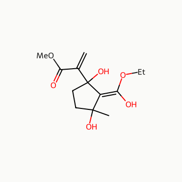 C=C(C(=O)OC)C1(O)CCC(C)(O)/C1=C(\O)OCC